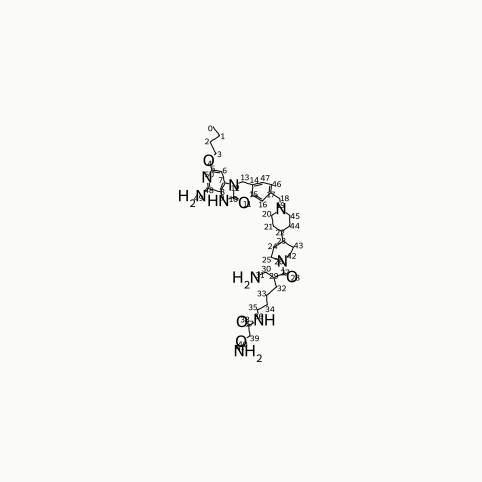 CCCCOc1cc2c([nH]c(=O)n2Cc2ccc(CN3CCC(C4CCN(C(=O)C(CN)CCCCNC(=O)CON)CC4)CC3)cc2)c(N)n1